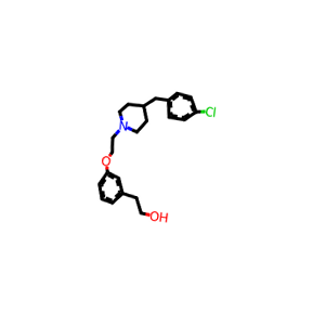 OCCc1cccc(OCCN2CCC(Cc3ccc(Cl)cc3)CC2)c1